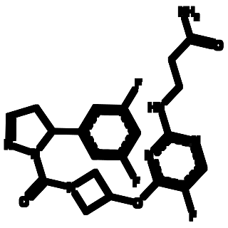 NC(=O)CCNc1ncc(F)c(OC2CN(C(=O)N3N=CCC3c3cc(F)cc(F)c3)C2)n1